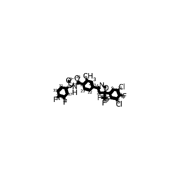 Cc1cc(C2=NOC(c3cc(Cl)c(F)c(Cl)c3)(C(F)(F)F)C2)ccc1C(=O)N[S+]([O-])c1ccc(F)c(F)c1